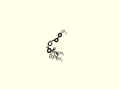 CN(C)CC(C)(C)CNC(=O)c1cccc(OC2CCN(Cc3cccc(-c4ccc(C(F)(F)F)cc4)c3)CC2)c1